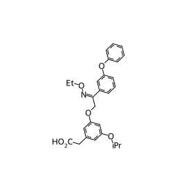 CCON=C(COc1cc(CC(=O)O)cc(OC(C)C)c1)c1cccc(Oc2ccccc2)c1